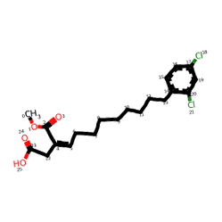 COC(=O)/C(=C\CCCCCCCCc1ccc(Cl)cc1Cl)CC(=O)O